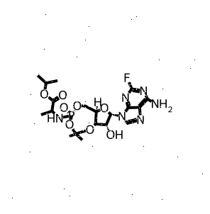 CC(C)OC(=O)C(C)NP1(=O)OC[C@H]2O[C@@H](n3cnc4c(N)nc(F)nc43)[C@H](O)C2OC(C)(C)O1